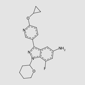 Nc1cc(F)c2c(c1)c(-c1ccc(OC3CC3)nc1)nn2C1CCCCO1